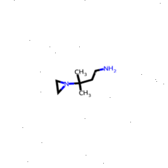 CC(C)(CCN)N1CC1